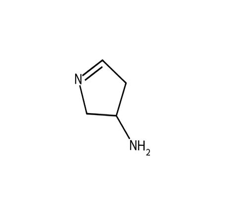 NC1CC=NC1